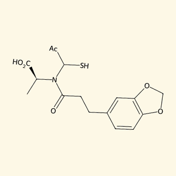 CC(=O)C(S)N(C(=O)CCc1ccc2c(c1)OCO2)[C@@H](C)C(=O)O